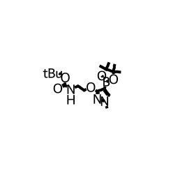 Cn1cc(B2OC(C)(C)C(C)(C)O2)c(OCCNC(=O)OC(C)(C)C)n1